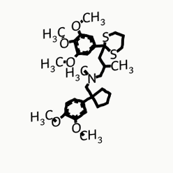 COc1ccc(C2(CN(C)CC(C)CC3(c4cc(OC)c(OC)c(OC)c4)SCCCS3)CCCC2)cc1OC